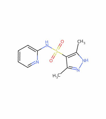 Cc1n[nH]c(C)c1S(=O)(=O)Nc1ccccn1